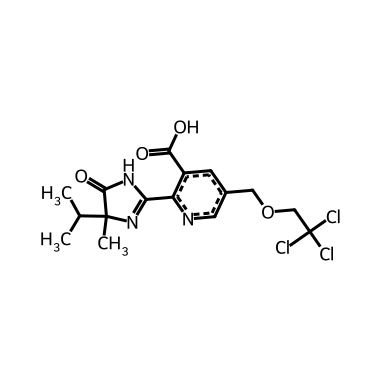 CC(C)C1(C)N=C(c2ncc(COCC(Cl)(Cl)Cl)cc2C(=O)O)NC1=O